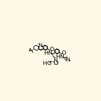 CN1CC(NC(=O)c2cccc([C@@H](CCN3CCC[C@H]3CO)NC(=O)c3ccc4nc5c(cc4c3)C[C@@H](C3(C)CC3)CC5)c2)C1